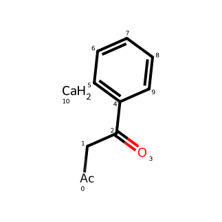 CC(=O)CC(=O)c1ccccc1.[CaH2]